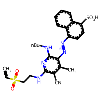 C=CS(=O)(=O)CCNc1nc(NCCCC)c(/N=N/c2ccc(S(=O)(=O)O)c3ccccc23)c(C)c1C#N